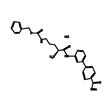 COC(=O)c1ccc(-c2cccc(NC(=O)[C@@H](N)CCCNC(=O)OCc3ccccc3)c2)cc1.Cl